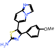 COc1ccc(-c2nc(N)sc2-c2ccc3nccn3c2)cc1